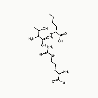 CC(O)C(N)C(=O)O.CSCCC(N)C(=O)O.N=C(N)NCCCC(N)C(=O)O